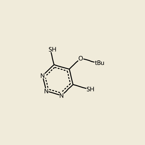 CC(C)(C)Oc1c(S)nnnc1S